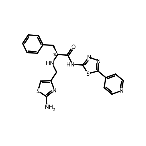 Nc1nc(CN[C@@H](Cc2ccccc2)C(=O)Nc2nnc(-c3ccncc3)s2)cs1